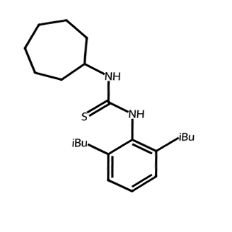 CCC(C)c1cccc(C(C)CC)c1NC(=S)NC1CCCCCC1